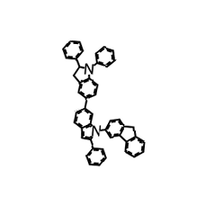 c1ccc(-c2cc3ccc(-c4ccc5c(c4)CC(c4ccccc4)N5c4ccccc4)cc3n2-c2ccc3c(c2)-c2ccccc2C3)cc1